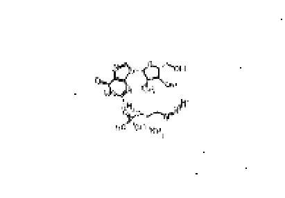 N.Nc1nc2c(ncn2[C@@H]2O[C@H](CO)[C@@H](O)[C@H]2O)c(=O)[nH]1.[N-]=[N+]=NCCOP(=O)(O)O